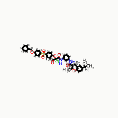 CCC(C)(C)c1ccc(OC(C)CC(=O)Nc2cccc(NC(=O)C(Cl)(Oc3ccc(S(=O)(=O)c4ccc(OCc5ccccc5)cc4)cc3)C(=O)C(C)(C)C)c2)c(C(C)(C)CC)c1